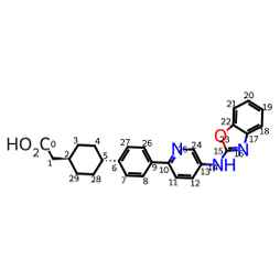 O=C(O)C[C@H]1CC[C@H](c2ccc(-c3ccc(Nc4nc5ccccc5o4)cn3)cc2)CC1